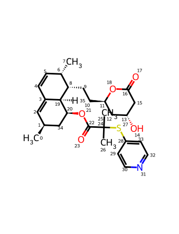 C[C@H]1C=C2C=C[C@H](C)[C@H](CC[C@@H]3C[C@@H](O)CC(=O)O3)[C@H]2[C@@H](OC(=O)C(C)(C)Sc2ccncc2)C1